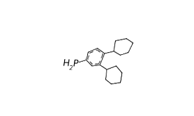 Pc1ccc(C2CCCCC2)c(C2CCCCC2)c1